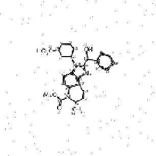 COC(=O)N1c2ccc3c(nc([C@@H](O)c4ccccc4)n3[C@@H]3CCC[C@H](C(=O)O)C3)c2CC[C@@H]1C